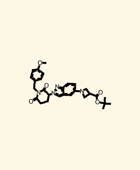 COc1ccc(CN2C(=O)CCC(n3cc4cc(N5CC(C(=O)OC(C)(C)C)C5)ccc4n3)C2=O)cc1